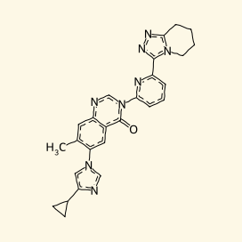 Cc1cc2ncn(-c3cccc(-c4nnc5n4CCCC5)n3)c(=O)c2cc1-n1cnc(C2CC2)c1